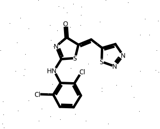 O=C1N=C(Nc2c(Cl)cccc2Cl)S/C1=C\c1cnns1